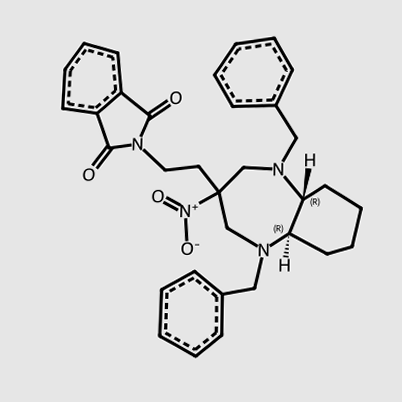 O=C1c2ccccc2C(=O)N1CCC1([N+](=O)[O-])CN(Cc2ccccc2)[C@@H]2CCCC[C@H]2N(Cc2ccccc2)C1